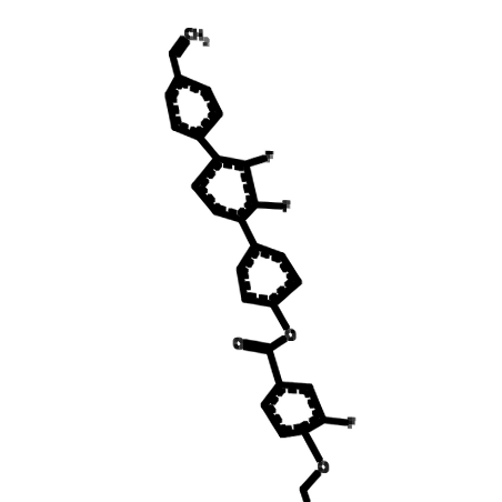 C=Cc1ccc(-c2ccc(-c3ccc(OC(=O)c4ccc(OCC)c(F)c4)cc3)c(F)c2F)cc1